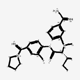 CCC(C)[C@H](C(=O)Oc1ccc(C(=N)N2CCCC2)cc1F)N(C)c1cccc(C(=N)N)c1